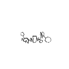 O=C(N1CCN(c2cc(C3CCCC3)ncn2)CC1)N1N=CCC1C1CCCCCCC1